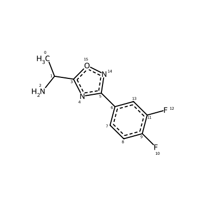 CC(N)c1nc(-c2ccc(F)c(F)c2)no1